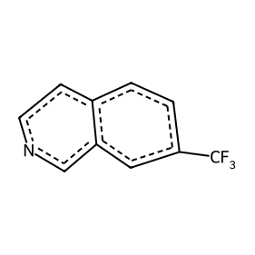 FC(F)(F)c1ccc2ccncc2c1